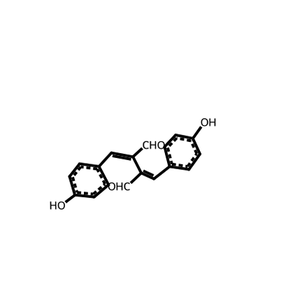 O=CC(=C/c1ccc(O)cc1)/C(C=O)=C\c1ccc(O)cc1